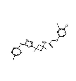 Cc1ccc(Oc2nnc(C3(C)CC(C)(NC(=O)COc4ccc(Cl)c(F)c4)C3)o2)cc1